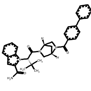 CC(C)(C)[C@@H](C(=O)N1C[C@@H]2C[C@H]1CN2C(=O)c1ccc(-c2ccccc2)cc1)n1c(C(N)=O)cc2ccccc21